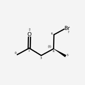 CC(=O)C[C@H](C)CBr